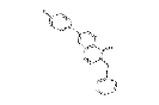 O=c1c2ccc(-c3ccc(F)cc3)cc2ccn1Cc1ccccc1